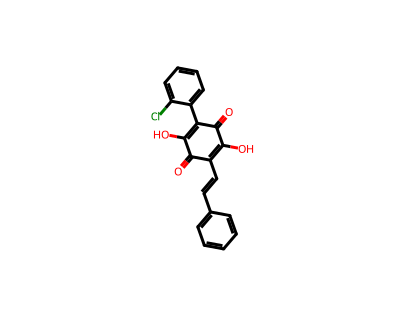 O=C1C(O)=C(c2ccccc2Cl)C(=O)C(O)=C1/C=C/c1ccccc1